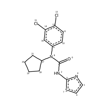 O=C(Nc1nccs1)N(c1ccc(Cl)c(Cl)c1)C1CCCC1